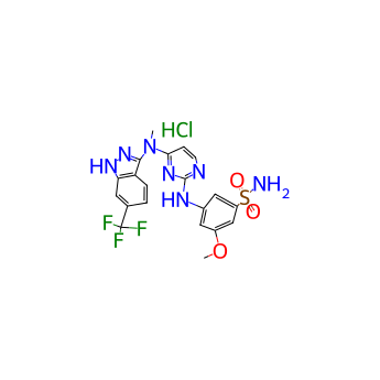 COc1cc(Nc2nccc(N(C)c3n[nH]c4cc(C(F)(F)F)ccc34)n2)cc(S(N)(=O)=O)c1.Cl